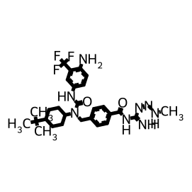 CN/N=N\C(=N)NC(=O)c1ccc(CN(C(=O)Nc2ccc(N)c(C(F)(F)F)c2)C2CCC(C(C)(C)C)CC2)cc1